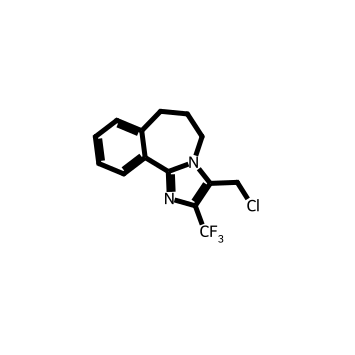 FC(F)(F)c1nc2n(c1CCl)CCCc1ccccc1-2